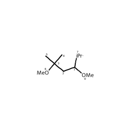 COC(CC(C)(C)OC)[C](C)C